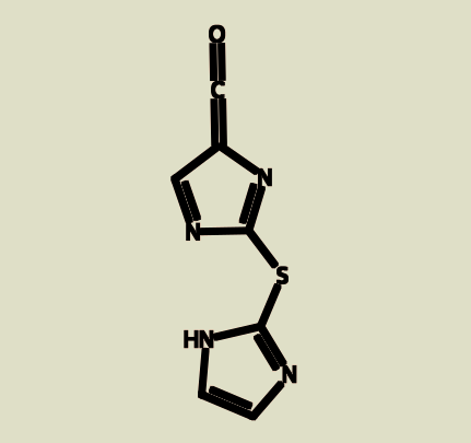 O=C=C1C=NC(Sc2ncc[nH]2)=N1